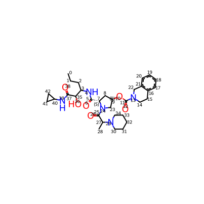 CCCC(NC(=O)[C@@H]1C[C@@H](OC(=O)N2CCc3ccccc3C2)CN1C(=O)C(C)N1CCCCC1)C(O)C(=O)NC1CC1